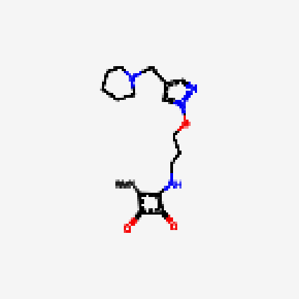 CNc1c(NCCCOn2cc(CN3CCCCC3)cn2)c(=O)c1=O